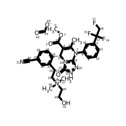 COC(=O)C1=C(C)N(c2cccc(C(F)(F)CF)c2)c2n[nH]c(=O)n2[C@@H]1c1ccc(C#N)cc1CC[N+](C)(C)CCO.O=C[O-]